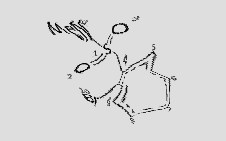 CNS(=O)(=O)c1ccccc1Br